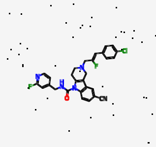 N#Cc1ccc2c(c1)c1c(n2C(=O)NCc2ccnc(F)c2)CCN(C/C(F)=C/c2ccc(Cl)cc2)C1